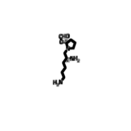 NCCCC[C@@H](N)CN1CCC[C@H]1OC=O